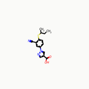 CCC(C)Sc1ccc(-n2cc(C(=O)O)cn2)cc1C#N